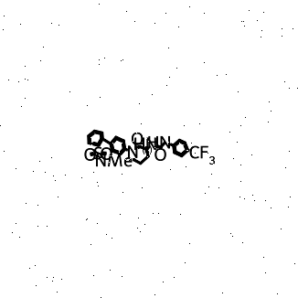 CNS(=O)(=O)c1ccccc1-c1ccc(N2CCC[C@@H](NC(=O)Nc3ccc(C(F)(F)F)cc3)C2=O)cc1